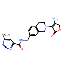 NC1=C(N2CCc3ccc(CNC(=O)c4cc(C(=O)O)ncn4)cc3C2)C(=O)OC1